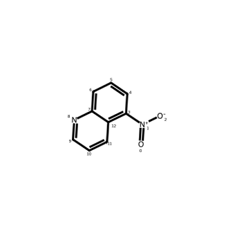 O=[N+]([O-])c1cccc2ncc[c]c12